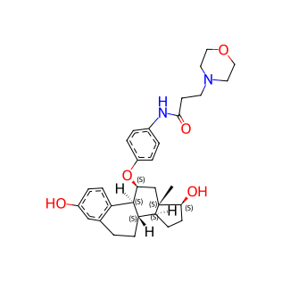 C[C@]12C[C@H](Oc3ccc(NC(=O)CCN4CCOCC4)cc3)[C@@H]3c4ccc(O)cc4CC[C@H]3[C@@H]1CC[C@@H]2O